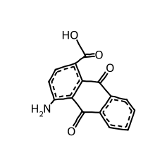 Nc1ccc(C(=O)O)c2c1C(=O)c1ccccc1C2=O